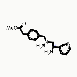 COC(=O)Cc1ccc(CN(N)/C=C(\N)c2cccnc2)cc1